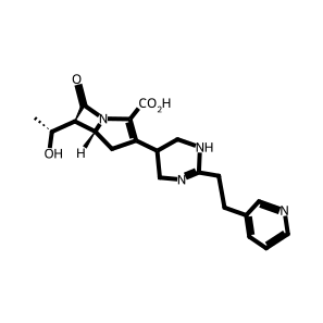 C[C@@H](O)[C@H]1C(=O)N2C(C(=O)O)=C(C3CN=C(CCc4cccnc4)NC3)C[C@H]12